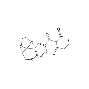 O=C1CCCC(=O)C1C(=O)c1ccc2c(c1)C1(CCS2)OCCO1